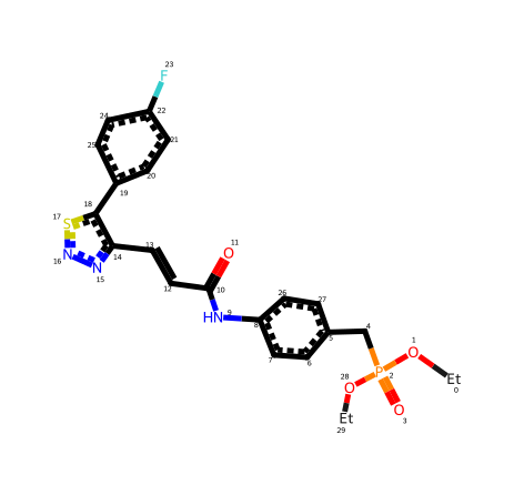 CCOP(=O)(Cc1ccc(NC(=O)/C=C/c2nnsc2-c2ccc(F)cc2)cc1)OCC